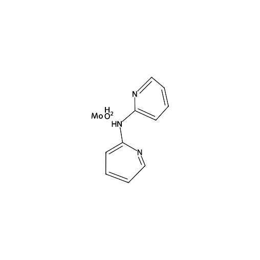 O.[Mo].c1ccc(Nc2ccccn2)nc1